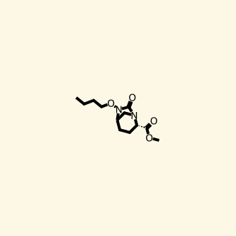 CCCCON1C(=O)N2CC1CC[C@H]2C(=O)OC